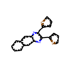 c1csc(-c2nc3cc4ccccc4cc3nc2-c2cccs2)c1